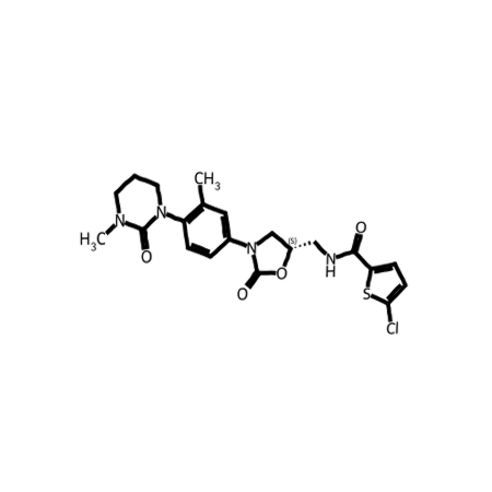 Cc1cc(N2C[C@H](CNC(=O)c3ccc(Cl)s3)OC2=O)ccc1N1CCCN(C)C1=O